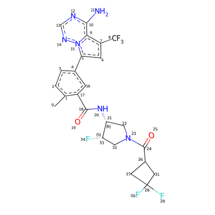 Cc1ccc(-c2cc(C(F)(F)F)c3c(N)ncnn23)cc1C(=O)N[C@@H]1CN(C(=O)C2CC(F)(F)C2)C[C@@H]1F